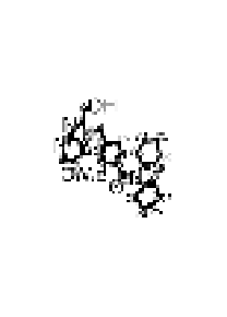 COc1cc(Cn2c(CO)nc3ncccc32)ccc1C(=O)N(c1ccccc1)C1CCCCC1